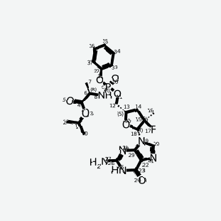 CC(C)OC(=O)[C@@H](C)N[P@@](=O)(OC[C@@H]1C[C@@](C)(F)[C@H](n2cnc3c(=O)[nH]c(N)nc32)O1)Oc1ccccc1